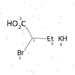 CCC(Br)C(=O)O.[KH]